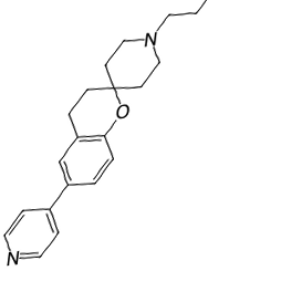 O=CCCN1CCC2(CCc3cc(-c4ccncc4)ccc3O2)CC1